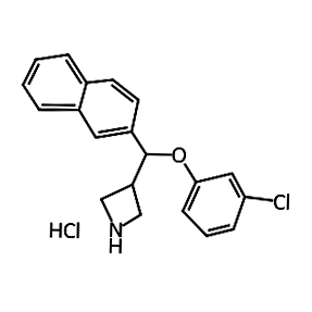 Cl.Clc1cccc(OC(c2ccc3ccccc3c2)C2CNC2)c1